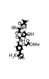 COC(=O)COc1cc(-c2scnc2C)ccc1CNC(=O)[C@@H]1C[C@@H](O)CN1C(=O)C(NC(=O)C1(F)CC1)C(C)(C)C